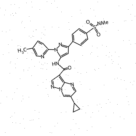 CNS(=O)(=O)c1ccc(-c2cc(NC(=O)c3cnn4cc(C5CC5)cnc34)n(-c3ccc(C)cn3)n2)cc1